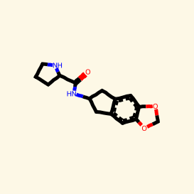 O=C(NC1Cc2cc3c(cc2C1)OCO3)C1CCCN1